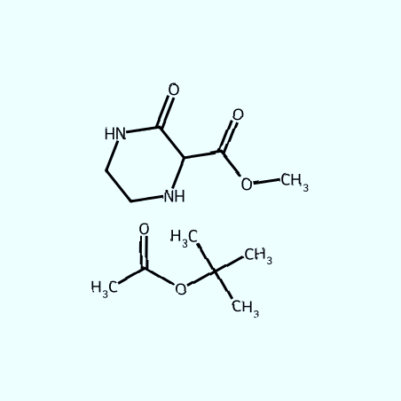 CC(=O)OC(C)(C)C.COC(=O)C1NCCNC1=O